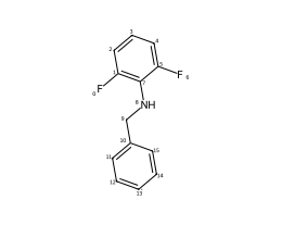 Fc1cccc(F)c1NCc1cc[c]cc1